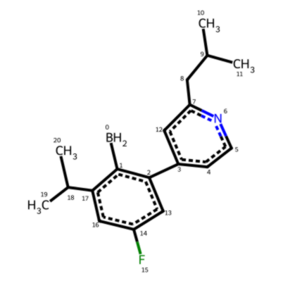 Bc1c(-c2ccnc(CC(C)C)c2)cc(F)cc1C(C)C